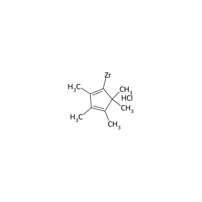 CC1=C(C)C(C)(C)[C]([Zr])=C1C.Cl